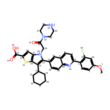 COc1ccc(-c2ccc3cc(-c4c(C5CCCCC5)c5sc(C(=O)O)cc5n4CC(=O)N4CCNCC4)ccc3n2)c(F)c1